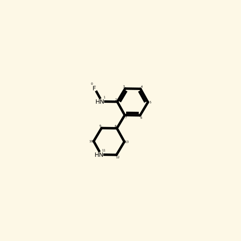 FNc1ccccc1C1CCNCC1